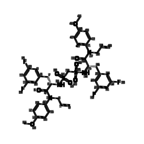 C=CCN(C(=O)[C@H](Cc1cc(F)cc(F)c1)NS(=O)(=O)CS(=O)(=O)N[C@@H](Cc1cc(F)cc(F)c1)C(=O)N(CC=C)c1ccc(OC)cc1)c1ccc(OC)cc1